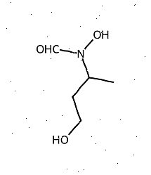 CC(CCO)N(O)C=O